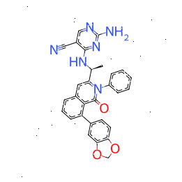 C[C@H](Nc1nc(N)ncc1C#N)c1cc2cccc(-c3ccc4c(c3)OCO4)c2c(=O)n1-c1ccccc1